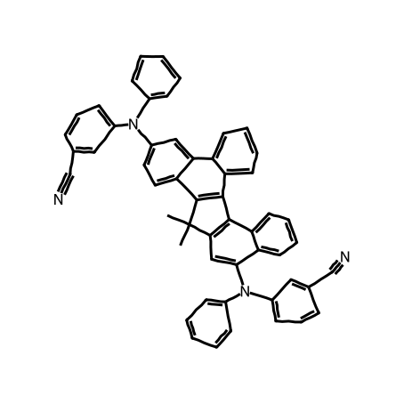 CC1(C)c2cc(N(c3ccccc3)c3cccc(C#N)c3)c3ccccc3c2-c2c1c1ccc(N(c3ccccc3)c3cccc(C#N)c3)cc1c1ccccc21